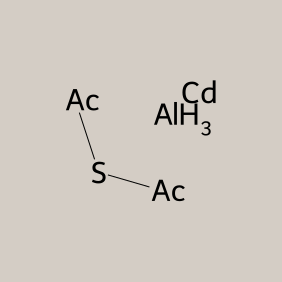 CC(=O)SC(C)=O.[AlH3].[Cd]